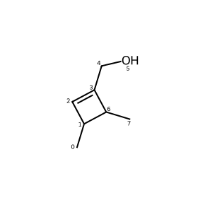 CC1C=C(CO)C1C